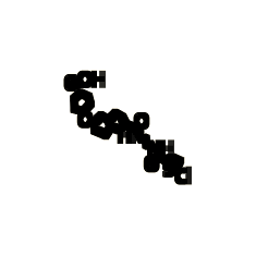 O=C(NCCNC(=O)c1ccc(Cl)s1)c1ccc2cc(O[C@H]3CC[C@@H](C(=O)O)CC3)ccc2c1